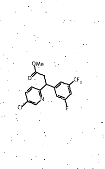 COC(=O)CC(c1cc(F)cc(C(F)(F)F)c1)c1ccc(Cl)cn1